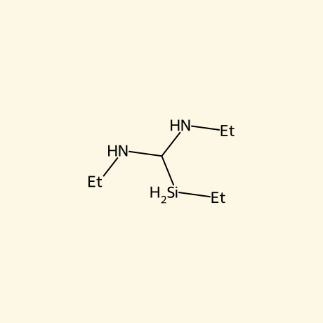 CCNC(NCC)[SiH2]CC